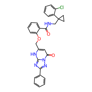 O=C(NCC1(c2ccccc2Cl)CC1)c1ccccc1OCc1cc(=O)n2nc(-c3ccccc3)nc2[nH]1